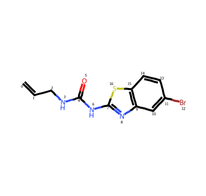 C=CCNC(=O)Nc1nc2cc(Br)ccc2s1